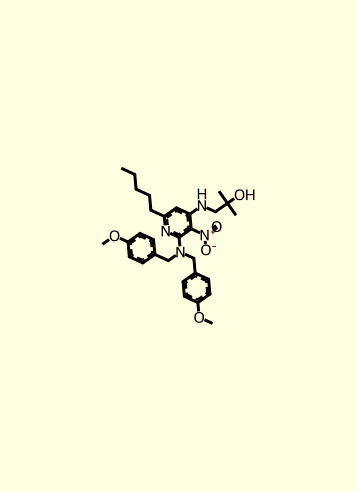 CCCCCc1cc(NCC(C)(C)O)c([N+](=O)[O-])c(N(Cc2ccc(OC)cc2)Cc2ccc(OC)cc2)n1